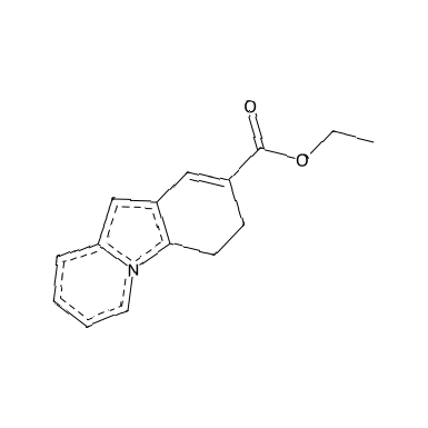 CCOC(=O)C1=Cc2cc3ccccn3c2CC1